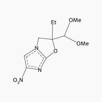 CCC1(C(OC)OC)Cn2cc([N+](=O)[O-])nc2O1